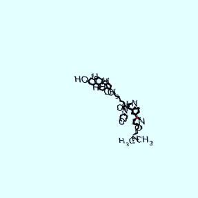 CN(C)CCCOc1ccc(-c2ccc3ncc4c(c3c2)n(C2CCOCC2)c(=O)n4CCCCCO[C@H]2CC[C@H]3[C@@H]4CC[C@H]5CC(O)CC[C@]5(C)[C@H]4CC[C@]23C)cn1